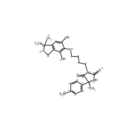 CCCc1cc2c(c(CCC)c1OCCCCN1C(=O)NC(C)(c3ccc([N+](=O)[O-])cc3)C1=O)COC2(C(F)(F)F)C(F)(F)F